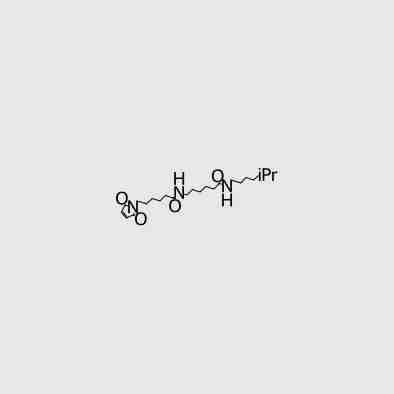 CC(C)CCCCNC(=O)CCCCCNC(=O)CCCCCN1C(=O)C=CC1=O